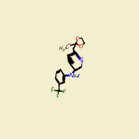 CC1(c2ccc(Nc3cccc(C(F)(F)F)c3)cn2)OCCO1